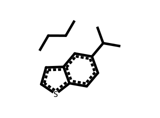 CC(C)c1ccc2sccc2c1.CCCC